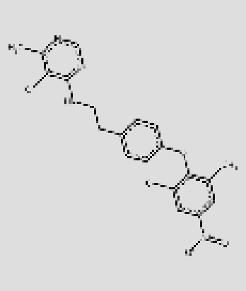 Cc1cc([N+](=O)[O-])cc(Cl)c1Oc1ccc(CCNc2ncnc(C)c2Cl)cc1